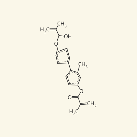 C=C(C)C(=O)Oc1ccc(-c2ccc(OC(O)C(=C)C)cc2)c(C)c1